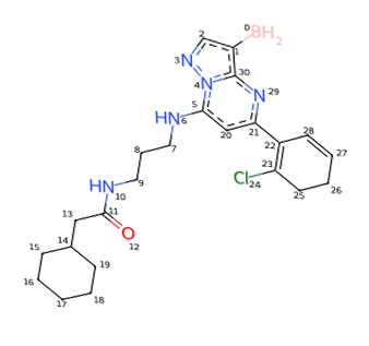 Bc1cnn2c(NCCCNC(=O)CC3CCCCC3)cc(C3=C(Cl)CCC=C3)nc12